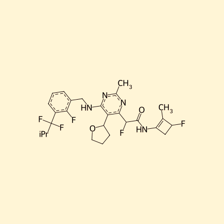 CC1=C(NC(=O)C(F)c2nc(C)nc(NCc3cccc(C(F)(F)C(C)C)c3F)c2C2CCCO2)CC1F